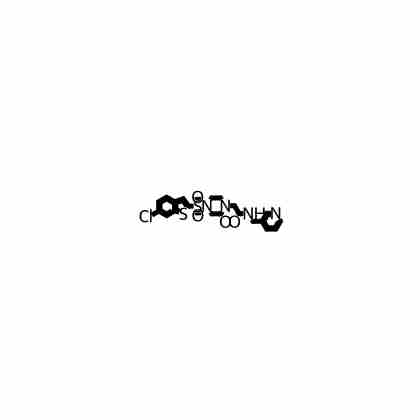 O=C(CN1CCN(S(=O)(=O)c2cc3ccc(Cl)cc3s2)CC1=O)NCc1cccnc1